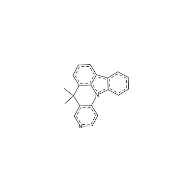 CC1(C)c2cnccc2-n2c3ccccc3c3cccc1c32